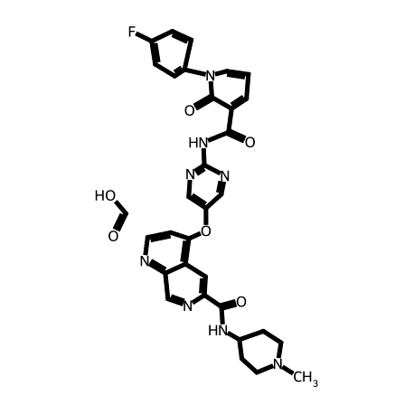 CN1CCC(NC(=O)c2cc3c(Oc4cnc(NC(=O)c5cccn(-c6ccc(F)cc6)c5=O)nc4)ccnc3cn2)CC1.O=CO